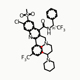 CS(=O)(=O)c1cc2c(C(=O)N[C@H](c3ccccc3)C(F)(F)F)c(CN3CCC(N4CCCCC4)CC3)c(-c3cccc(C(F)(F)F)c3)nc2cc1Cl